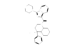 O=C(c1nc(N2CCOCC2)n2ccccc12)N1CC[C@@](O)(c2ccccc2)[C@@H]2CCCCC21